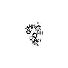 COc1ccc(Nc2ncc(F)c(N[C@@H]3C[C@@H]4CCCN4C(C)(C)C3)n2)cc1-n1nnn(C)c1=O